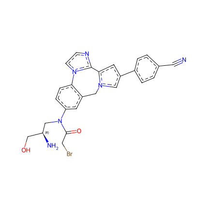 N#Cc1ccc(-c2cc3n(c2)Cc2cc(N(C[C@@H](N)CO)C(=O)CBr)ccc2-n2ccnc2-3)cc1